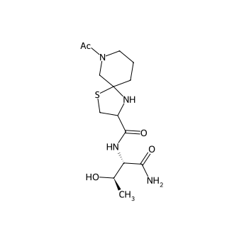 CC(=O)N1CCCC2(C1)NC(C(=O)N[C@H](C(N)=O)[C@@H](C)O)CS2